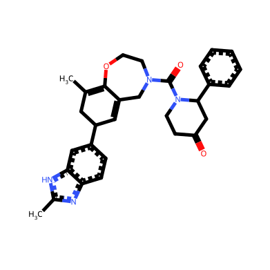 CC1=C2OCCN(C(=O)N3CCC(=O)CC3c3ccccc3)CC2=CC(c2ccc3nc(C)[nH]c3c2)C1